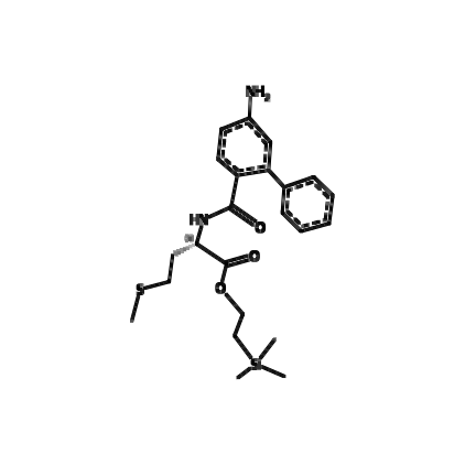 CSCC[C@H](NC(=O)c1ccc(N)cc1-c1ccccc1)C(=O)OCC[Si](C)(C)C